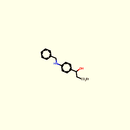 CCOC(=O)CC(O)c1ccc(NCc2ccccc2)cc1